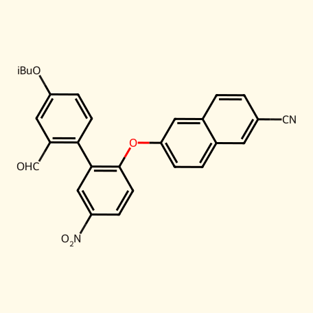 CC(C)COc1ccc(-c2cc([N+](=O)[O-])ccc2Oc2ccc3cc(C#N)ccc3c2)c(C=O)c1